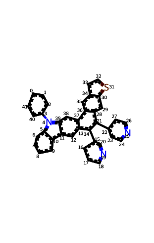 c1ccc(-n2c3ccccc3c3cc4c(-c5cccnc5)c(-c5ccncc5)c5cc6sccc6cc5c4cc32)cc1